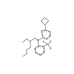 CCCCC(CC)CN(c1cccc(C2CCC2)c1)c1ccccc1C(F)(F)F